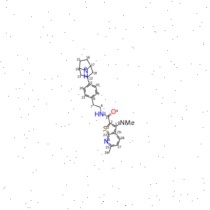 CNc1c(C(=O)NCCc2ccc(C3CC4CCC(C3)N4)cc2)sc2nc(C)ccc12